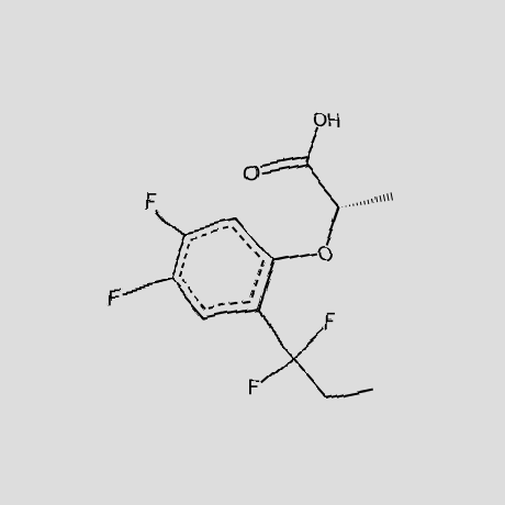 CCC(F)(F)c1cc(F)c(F)cc1O[C@@H](C)C(=O)O